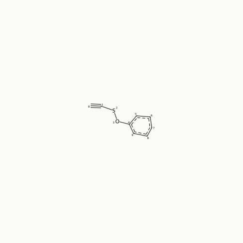 C#CSOc1ccccc1